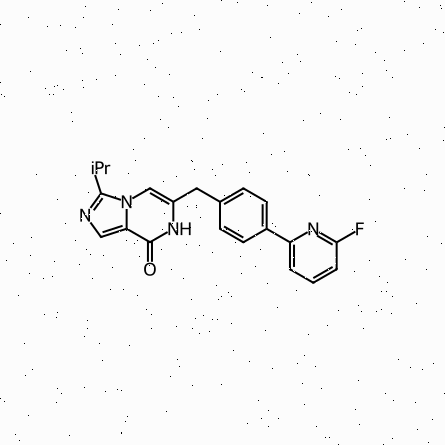 CC(C)c1ncc2c(=O)[nH]c(Cc3ccc(-c4cccc(F)n4)cc3)cn12